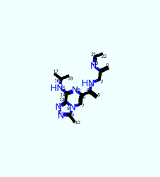 C=C(CNC(=C)c1cn2c(C)nnc2c(NC(C)C)n1)/N=C\C